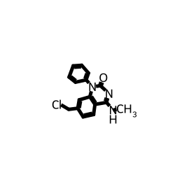 CNc1nc(=O)n(-c2ccccc2)c2cc(CCl)ccc12